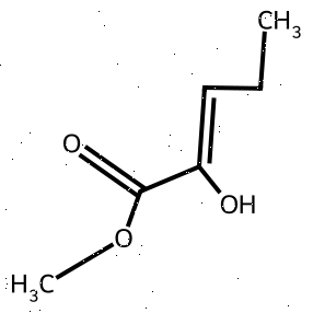 CCC=C(O)C(=O)OC